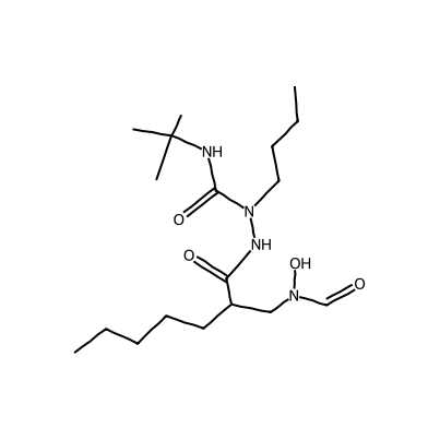 CCCCCC(CN(O)C=O)C(=O)NN(CCCC)C(=O)NC(C)(C)C